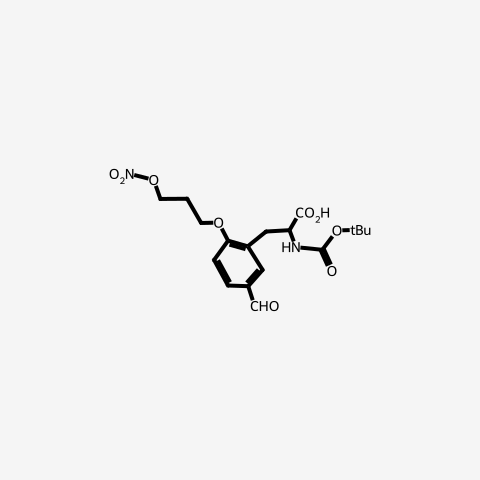 CC(C)(C)OC(=O)NC(Cc1cc(C=O)ccc1OCCCO[N+](=O)[O-])C(=O)O